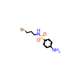 Nc1ccc(S(=O)(=O)NCCCBr)cc1